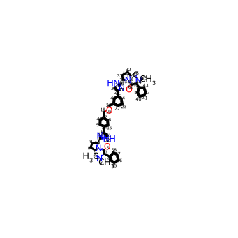 CN(C)[C@@H](C(=O)N1CCC[C@H]1c1nc(-c2ccc(COCc3cccc(-c4c[nH]c([C@@H]5CCCN5C(=O)[C@@H](c5ccccc5)N(C)C)n4)c3)cc2)c[nH]1)c1ccccc1